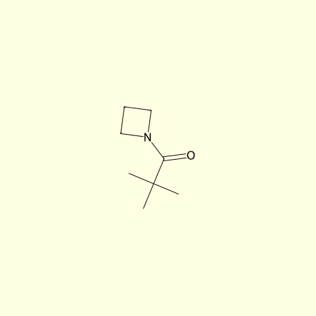 CC(C)(C)C(=O)N1CCC1